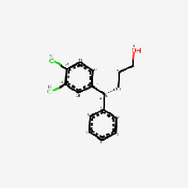 OCCC[C@H](c1ccccc1)c1ccc(Cl)c(Cl)c1